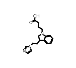 O=C(O)CCCN1CC(CCn2ccnc2)c2ccccc21